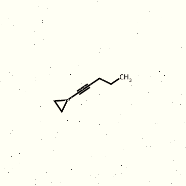 CCCC#C[C]1CC1